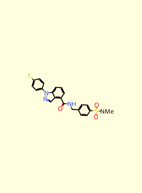 CNS(=O)(=O)c1ccc(CNC(=O)c2cccc3c2cnn3-c2ccc(F)cc2)cc1